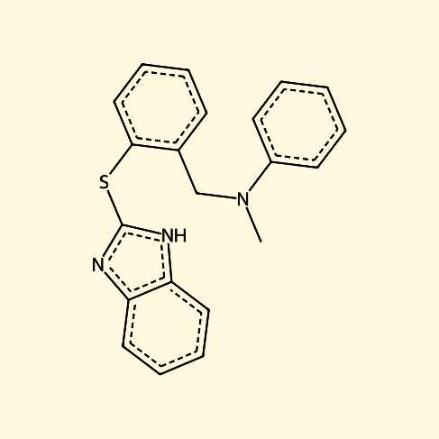 CN(Cc1ccccc1Sc1nc2ccccc2[nH]1)c1ccccc1